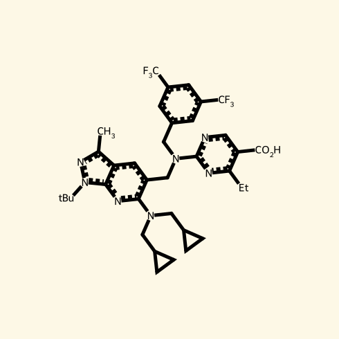 CCc1nc(N(Cc2cc(C(F)(F)F)cc(C(F)(F)F)c2)Cc2cc3c(C)nn(C(C)(C)C)c3nc2N(CC2CC2)CC2CC2)ncc1C(=O)O